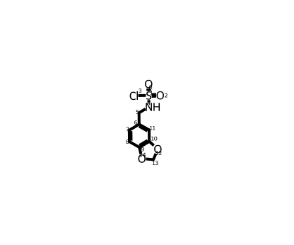 O=S(=O)(Cl)NCc1ccc2c(c1)OCO2